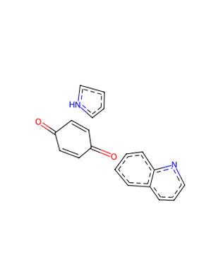 O=C1C=CC(=O)C=C1.c1cc[nH]c1.c1ccc2ncccc2c1